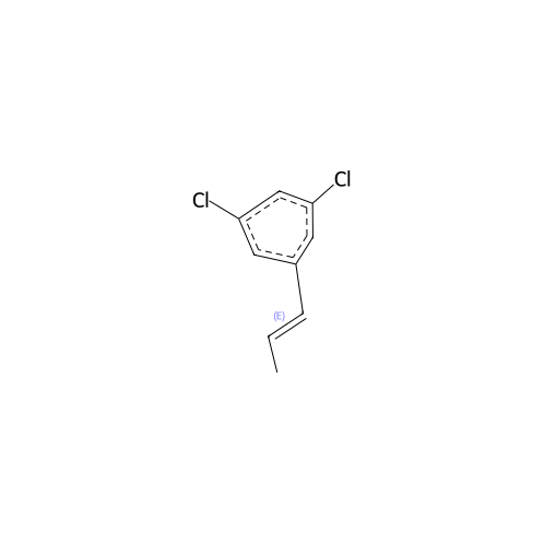 C/C=C/c1cc(Cl)cc(Cl)c1